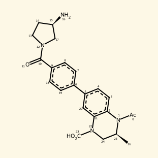 CC(=O)N1c2ccc(-c3ccc(C(=O)N4CC[C@@H](N)C4)cc3)cc2N(C(=O)O)C[C@@H]1C